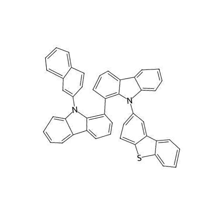 c1ccc2cc(-n3c4ccccc4c4cccc(-c5cccc6c7ccccc7n(-c7ccc8sc9ccccc9c8c7)c56)c43)ccc2c1